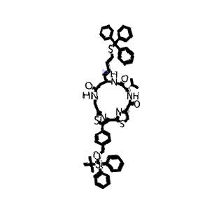 CC(C)[C@@H]1NC(=O)[C@]2(C)CSC(=N2)c2nc(sc2-c2ccc(CO[Si](c3ccccc3)(c3ccccc3)C(C)(C)C)cc2)CNC(=O)CC(/C=C/CCSC(c2ccccc2)(c2ccccc2)c2ccccc2)NC1=O